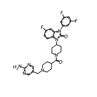 Nc1ncc(CN2CCC(C(=O)N3CCC(n4c(=O)n(-c5cc(F)cc(F)c5)c5cc(F)ccc54)CC3)CC2)cn1